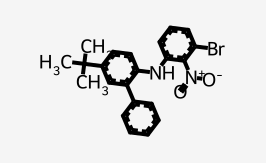 CC(C)(C)c1ccc(Nc2cccc(Br)c2[N+](=O)[O-])c(-c2ccccc2)c1